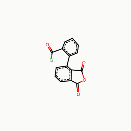 O=C(Cl)c1ccccc1-c1cccc2c1C(=O)OC2=O